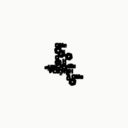 C=C[C@@H]1C[C@]1(NC(=O)[C@@H]1C[C@@H](Oc2cc(-c3ccccc3)nc3cc(OC)ccc23)CN1C(=O)N[C@H](C(=O)NCCOc1ccccc1OC)C(C)(C)C)C(=O)O